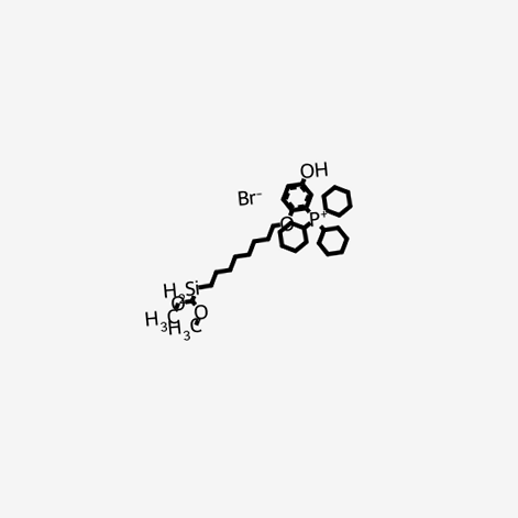 COC(OC)[SiH2]CCCCCCCCOc1ccc(O)cc1[P+](C1CCCCC1)(C1CCCCC1)C1CCCCC1.[Br-]